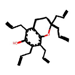 C=CCc1c(O)c(CC=C)c2c(c1CC=C)OC(CC=C)(CC=C)CC2